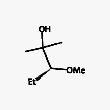 CC[C@@H](OC)C(C)(C)O